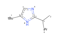 CC(C)C(C)c1ncc(C(C)(C)C)[nH]1